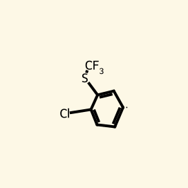 FC(F)(F)Sc1c[c]ccc1Cl